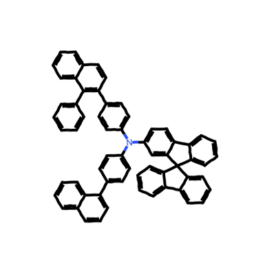 c1ccc(-c2c(-c3ccc(N(c4ccc(-c5cccc6ccccc56)cc4)c4ccc5c(c4)C4(c6ccccc6-c6ccccc64)c4ccccc4-5)cc3)ccc3ccccc23)cc1